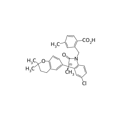 Cc1ccc(C(=O)O)c(CN2C(=O)[C@@](C)(c3ccc4c(c3)CCC(C)(C)O4)c3cc(Cl)ccc32)c1